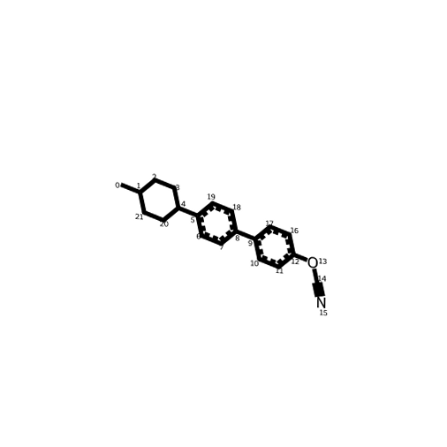 CC1CCC(c2ccc(-c3ccc(OC#N)cc3)cc2)CC1